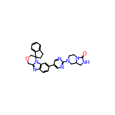 O=C1NCC2CN(c3ncc(-c4ccc5nc6n(c5c4)C4(CCc5ccccc54)COC6)cn3)CCN12